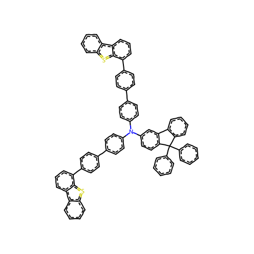 c1ccc(C2(c3ccccc3)c3ccccc3-c3cc(N(c4ccc(-c5ccc(-c6cccc7c6sc6ccccc67)cc5)cc4)c4ccc(-c5ccc(-c6cccc7c6sc6ccccc67)cc5)cc4)ccc32)cc1